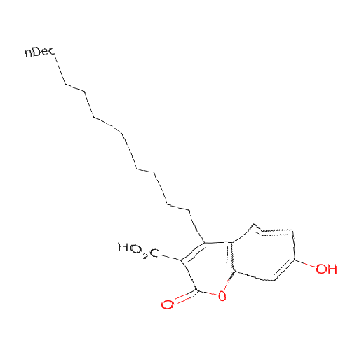 CCCCCCCCCCCCCCCCCCc1c(C(=O)O)c(=O)oc2cc(O)ccc12